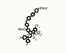 CCCCCC1CCC(c2ccc(-c3ccc(Cc4ccc(-c5cc6c7c(c8c(c6cc5OC)OC(c5ccc(F)cc5)(c5ccc(F)cc5)C=C8)C(C)(C)c5c-7cc(C(F)(F)F)cc5C(F)(F)F)cc4)cc3)cc2)CC1